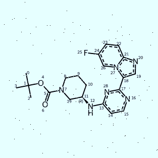 CC(C)(C)OC(=O)N1CCC[C@@H](Nc2ccnc(-c3cnc4ccc(F)cn34)n2)C1